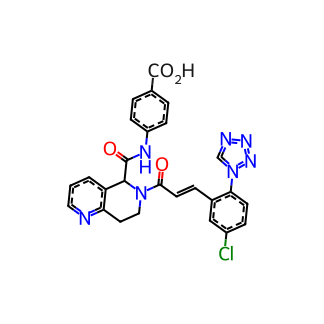 O=C(O)c1ccc(NC(=O)C2c3cccnc3CCN2C(=O)/C=C/c2cc(Cl)ccc2-n2cnnn2)cc1